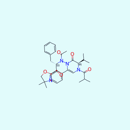 CC(=O)N([C@@H](Cc1ccccc1)C(=O)C1=NC(C)(C)CO1)N1C(=O)[C@@H](C(C)C)N(C(=O)C(C)C)C=C1c1ccccc1